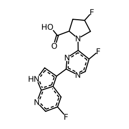 O=C(O)C1CC(F)CN1c1nc(-c2c[nH]c3ncc(F)cc23)ncc1F